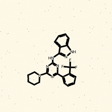 FC(F)(F)c1ccccc1-c1nc(Nc2n[nH]c3ccccc23)nc(N2CCCCC2)n1